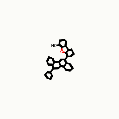 N#Cc1cccc2c1oc1c(-c3cc4c5ccccc5c(-c5ccccc5)cc4c4ccccc34)cccc12